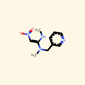 CNC(=C[N+](=O)[O-])N(C)Cc1cccnc1